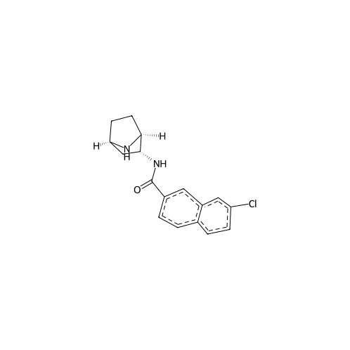 O=C(N[C@@H]1C[C@H]2CC[C@@H]1N2)c1ccc2ccc(Cl)cc2c1